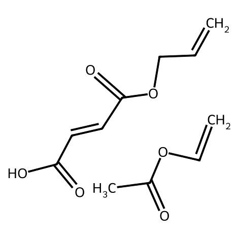 C=CCOC(=O)/C=C/C(=O)O.C=COC(C)=O